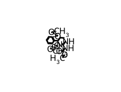 COC(=O)NC1=NC(c2c(S(C)(=O)=O)cccc2S(C)(=O)=O)CCN1